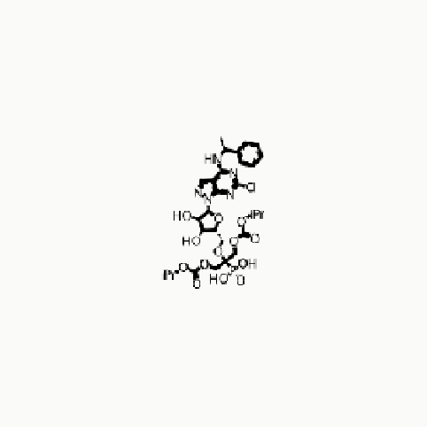 CC(C)OC(=O)OCC(COC(=O)OC(C)C)(OC[C@H]1O[C@@H](n2ncc3c(N[C@@H](C)c4ccccc4)nc(Cl)nc32)[C@H](O)[C@@H]1O)P(=O)(O)O